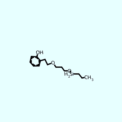 CCC[SiH2]OCCCOCCc1ccccc1O